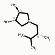 CC(C)[C@@H](C)CN1C[C@H](O)[C@@H](O)C1